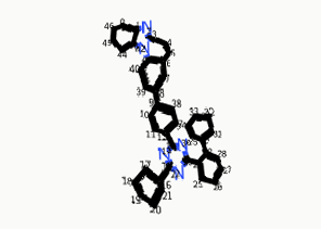 C1=c2nc3ccc4cc(-c5ccc(-c6nc(-c7ccccc7)nc(-c7ccccc7-c7ccccc7)n6)cc5)ccc4n3c2=CCC1